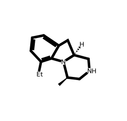 CCc1cccc2c1N1[C@H](CNC[C@H]1C)C2